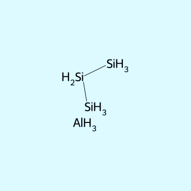 [AlH3].[SiH3][SiH2][SiH3]